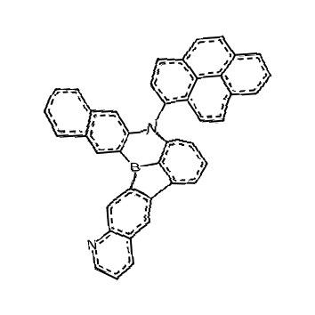 c1cc2c3c(c1)N(c1ccc4ccc5cccc6ccc1c4c56)c1cc4ccccc4cc1B3c1cc3ncccc3cc1-2